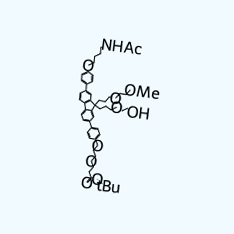 COCCOCCCC1(CCCOCCO)c2cc(-c3ccc(OCCCCNC(C)=O)cc3)ccc2-c2ccc(-c3ccc(OCCOCCC(=O)OC(C)(C)C)cc3)cc21